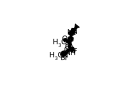 CC(=O)c1nn(CC(=O)N2C[C@H](F)C[C@H]2C(=O)Nc2ccc(C)c(Br)n2)c2ccc(-c3cnc4cc(C5CC5)nn4c3)cc12